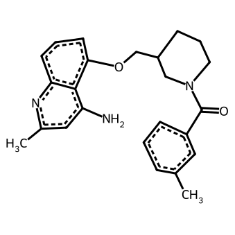 Cc1cccc(C(=O)N2CCCC(COc3cccc4nc(C)cc(N)c34)C2)c1